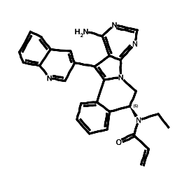 C=CC(=O)N(CC)[C@@H]1Cn2c(c(-c3cnc4ccccc4c3)c3c(N)ncnc32)-c2ccccc21